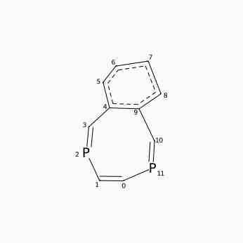 C1=C\P=C/c2ccccc2\C=P/1